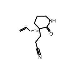 C=CC[C@]1(CCC#N)CCCNC1=O